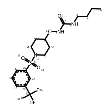 CCCCNC(=O)NOC1CCN(S(=O)(=O)c2cccc(C(F)(F)F)c2)CC1